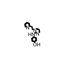 Oc1ccc(NC2N=CC=CN2CCc2ccccn2)cc1